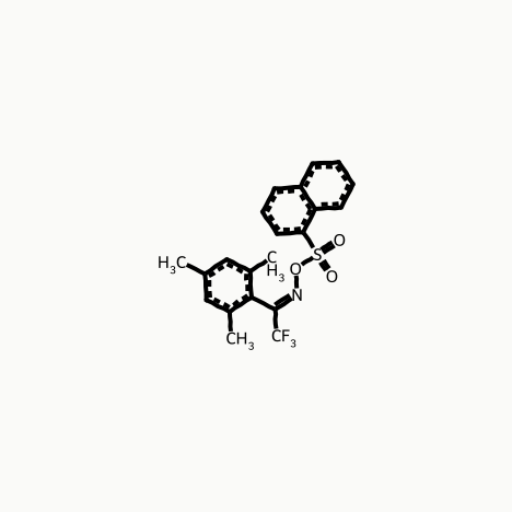 Cc1cc(C)c(C(=NOS(=O)(=O)c2cccc3ccccc23)C(F)(F)F)c(C)c1